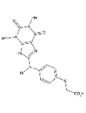 CCCn1c(=O)c2nc(C(CC)c3ccc(SCC(=O)O)cc3)[nH]c2n(CCC)c1=O